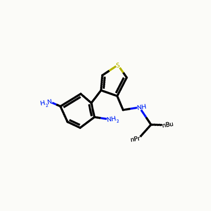 CCCCC(CCC)NCc1cscc1-c1cc(N)ccc1N